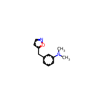 CN(C)c1cccc(Cc2ccno2)c1